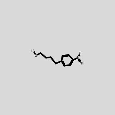 CCOCCCCc1ccc([N+](=N)[O-])cc1